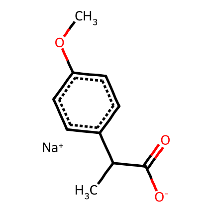 COc1ccc(C(C)C(=O)[O-])cc1.[Na+]